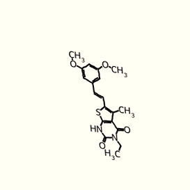 CCn1c(=O)[nH]c2sc(C=Cc3cc(OC)cc(OC)c3)c(C)c2c1=O